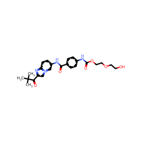 CC(C)(C)C(=O)c1cn2cc(NC(=O)c3ccc(NC(=O)OCCOCCO)cc3)ccc2n1